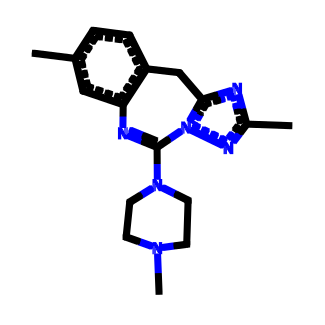 Cc1ccc2c(c1)N=C(N1CCN(C)CC1)n1nc(C)nc1C2